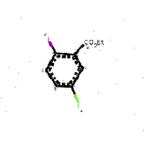 CCOC(=O)c1cc(F)ccc1I